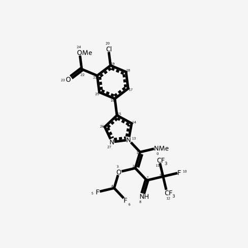 CN/C(=C(/OC(F)F)C(=N)C(F)(C(F)(F)F)C(F)(F)F)n1cc(-c2ccc(Cl)c(C(=O)OC)c2)cn1